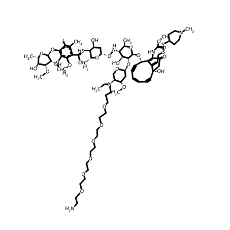 CCN(CCCOCCOCCOCCOCCOCCOCCN)[C@H]1CO[C@@H](O[C@H]2[C@H](O[C@H]3C#CC=CC#C[C@]4(O)CC(=O)C(NC(=O)OC)=C3/C4=C\CSSC3CCN(C)CC3)O[C@H](C)[C@@H](NO[C@H]3C[C@H](O)[C@H]([SH]=C(O)c4c(C)c(I)c(O[C@@H]5O[C@@H](C)[C@H](O)[C@@H](OC)[C@H]5O)c(OC)c4OC)[C@@H](C)O3)[C@@H]2O)C[C@@H]1OC